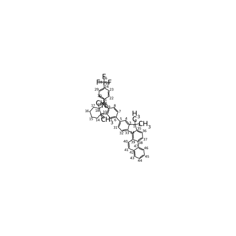 CC1(C)c2cc(-c3ccc4c(c3)C3(C)CCCCC3(C)N4c3ccc(C(F)(F)F)cc3)ccc2-c2c1ccc1c2ccc2ccccc21